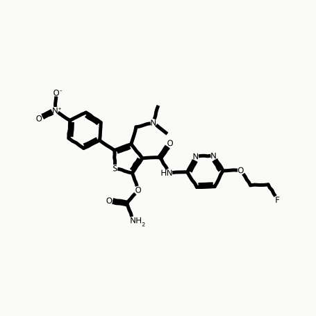 CN(C)Cc1c(-c2ccc([N+](=O)[O-])cc2)sc(OC(N)=O)c1C(=O)Nc1ccc(OCCF)nn1